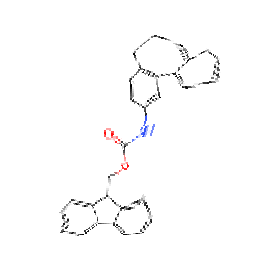 O=C(Nc1ccc2c(c1)C1=CC=CCC1=CCC2)OCC1c2ccccc2-c2ccccc21